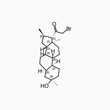 C[C@@H]1C[C@H]2[C@@H]3CC[C@@H]4C[C@](C)(O)CC[C@@H]4[C@H]3CC[C@]2(C)[C@H]1C(=O)CBr